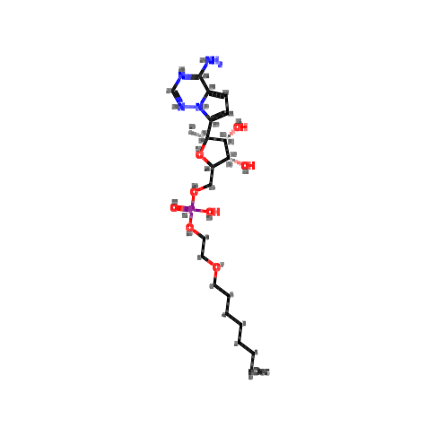 CCCCCCCCCCCCCCCCOCCOP(=O)(O)OCC1O[C@@](C)(c2ccc3c(N)ncnn23)[C@H](O)[C@@H]1O